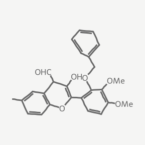 COc1ccc(C2=C(O)C(C=O)c3cc(C)ccc3O2)c(OCc2ccccc2)c1OC